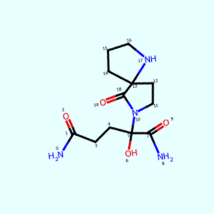 NC(=O)CCC(O)(C(N)=O)N1CCC2(CCCN2)C1=O